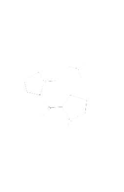 CN(C)C=O.CN1CCCC1C(=O)C1CCCN1C